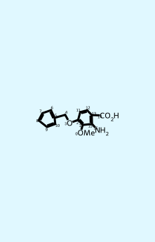 COc1c(OCc2ccccc2)ccc(C(=O)O)c1N